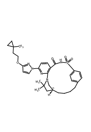 CC1(C)C[C@H]2CCCCc3ccc(cc3)S(=O)(=O)NC(=O)c3ccc(-n4ccc(OCCC5(C(F)(F)F)CC5)n4)nc3N1C2